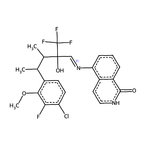 COc1c(C(C)C(C)C(O)(/C=N/c2cccc3c(=O)[nH]ccc23)C(F)(F)F)ccc(Cl)c1F